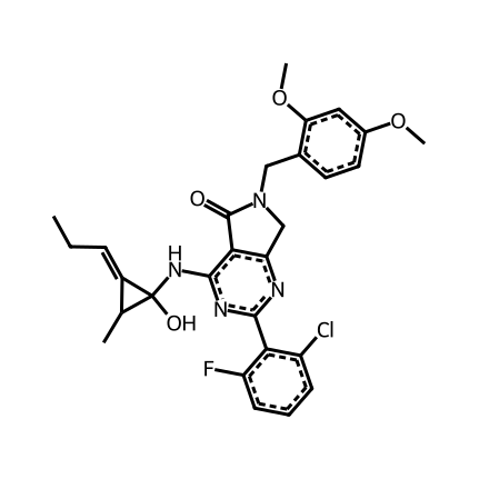 CC/C=C1\C(C)C1(O)Nc1nc(-c2c(F)cccc2Cl)nc2c1C(=O)N(Cc1ccc(OC)cc1OC)C2